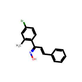 Cc1cc(Br)ccc1C(C=Cc1ccccc1)=NO